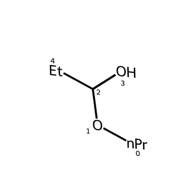 CCCOC(O)CC